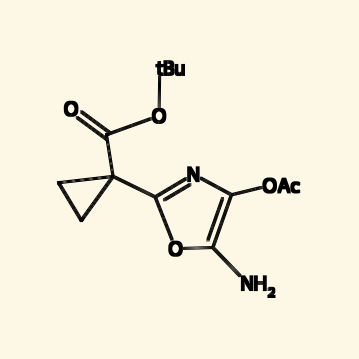 CC(=O)Oc1nc(C2(C(=O)OC(C)(C)C)CC2)oc1N